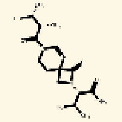 C[C@@H](O)[C@H](N)C(=O)N1C=NC2(CC1)CN([C@H](C(N)=O)[C@@H](C)O)C2=O